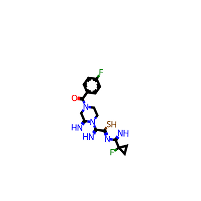 N=C1CN(C(=O)c2ccc(F)cc2)CCN1C(=N)/C(S)=N/C(=N)C1(F)CC1